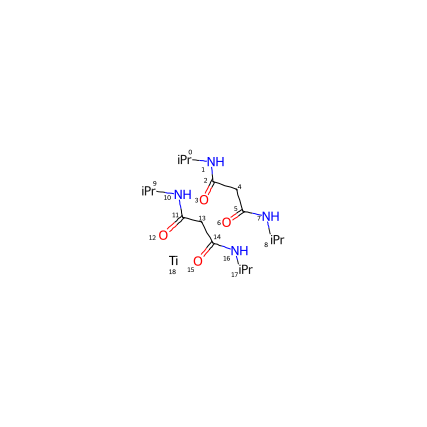 CC(C)NC(=O)CC(=O)NC(C)C.CC(C)NC(=O)CC(=O)NC(C)C.[Ti]